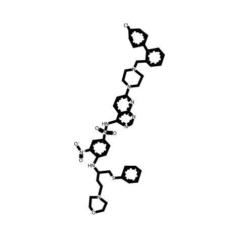 O=[N+]([O-])c1cc(S(=O)(=O)Nc2ncnc3nc(N4CCN(Cc5ccccc5-c5ccc(Cl)cc5)CC4)ccc23)ccc1NC(CCN1CCOCC1)CSc1ccccc1